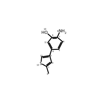 Cc1cc(-c2ccc(N)c(O)c2)cs1